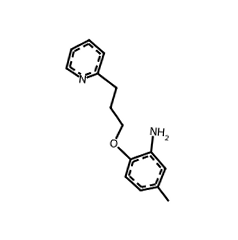 Cc1ccc(OCCCc2ccccn2)c(N)c1